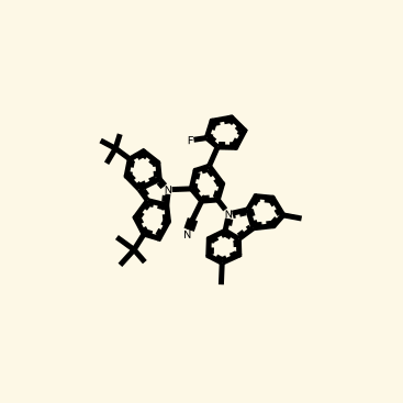 Cc1ccc2c(c1)c1cc(C)ccc1n2-c1cc(-c2ccccc2F)cc(-n2c3ccc(C(C)(C)C)cc3c3cc(C(C)(C)C)ccc32)c1C#N